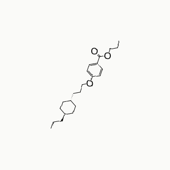 CCCOC(=O)c1ccc(OCCC[C@H]2CC[C@H](CCC)CC2)cc1